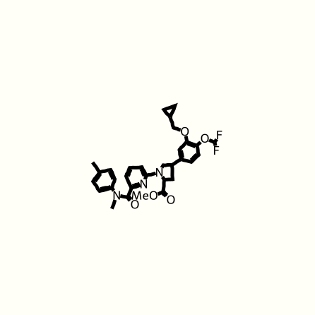 COC(=O)C1CC(c2ccc(OC(F)F)c(OCC3CC3)c2)CN1c1cccc(C(=O)N(C)c2ccc(C)cc2)n1